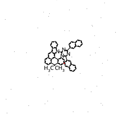 CC1(C)c2ccccc2-c2c3c1cccc3cc1c3ccccc3n(-c3nc(-c4ccc5ccccc5c4)nc(-c4ccc5ccccc5c4)n3)c21